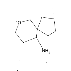 NC1CCOCC12CCCC2